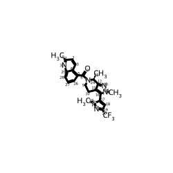 Cc1ccc2c(C(=O)N3CCc4c(nn(C)c4-c4cc(C(F)(F)F)nn4C)[C@@H]3C)cccc2n1